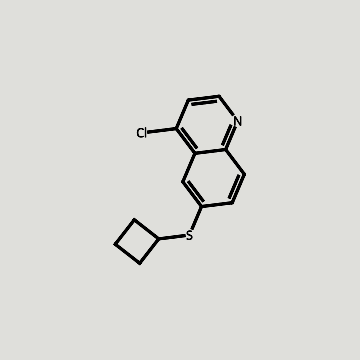 Clc1ccnc2ccc(SC3CCC3)cc12